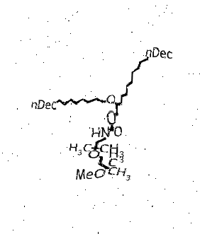 CCCCCCCCCCCCCCCCCCCC(COC(=O)NCCC(C)(C)OCCC(C)(C)OC)OCCCCCCCCCCCCCCCCCC